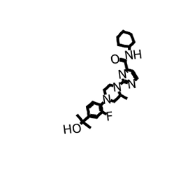 CC1CN(c2ccc(C(C)(C)O)cc2F)CCN1c1nccc(C(=O)NC2CCCCC2)n1